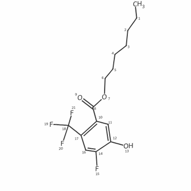 CCCCCCCOC(=O)c1cc(O)c(F)cc1C(F)(F)F